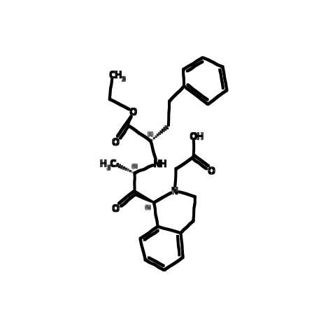 CCOC(=O)[C@H](CCc1ccccc1)N[C@@H](C)C(=O)[C@@H]1c2ccccc2CCN1CC(=O)O